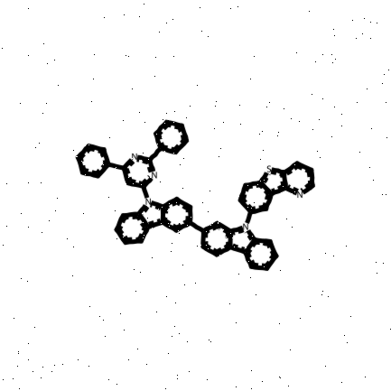 c1ccc(-c2cc(-n3c4ccccc4c4cc(-c5ccc6c7ccccc7n(-c7ccc8sc9cccnc9c8c7)c6c5)ccc43)nc(-c3ccccc3)n2)cc1